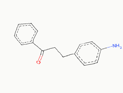 Nc1ccc(CCC(=O)c2ccccc2)cc1